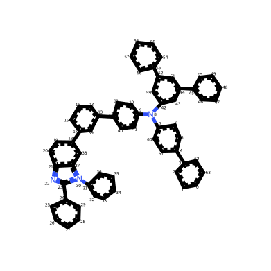 c1ccc(-c2ccc(N(c3ccc(-c4cccc(-c5ccc6nc(-c7ccccc7)n(-c7ccccc7)c6c5)c4)cc3)c3cc(-c4ccccc4)cc(-c4ccccc4)c3)cc2)cc1